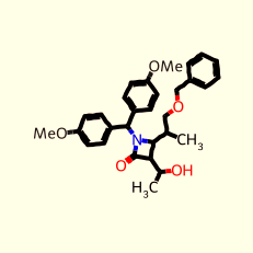 COc1ccc(C(c2ccc(OC)cc2)N2C(=O)C(C(C)O)C2C(C)COCc2ccccc2)cc1